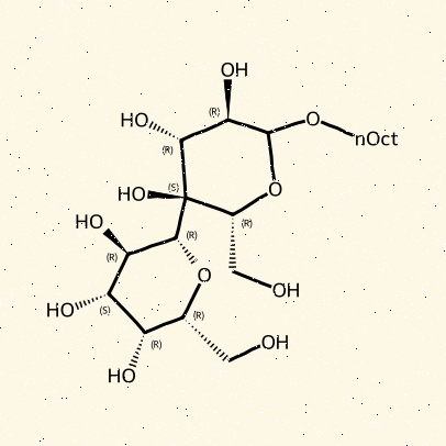 CCCCCCCCOC1O[C@H](CO)[C@](O)([C@@H]2O[C@H](CO)[C@H](O)[C@H](O)[C@H]2O)[C@H](O)[C@H]1O